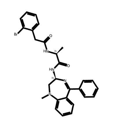 C[C@H](NC(=O)Cc1ccccc1Br)C(=O)N[C@@H]1CN(C)c2ccccc2C(c2ccccc2)=N1